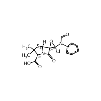 CC1(C)S[C@H]2N(C(=O)[C@]23O[C@@]3(Cl)N(C=O)c2ccccc2)[C@H]1C(=O)O